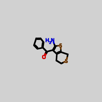 Nc1sc2c(c1C(=O)c1ccccc1)CCSC2